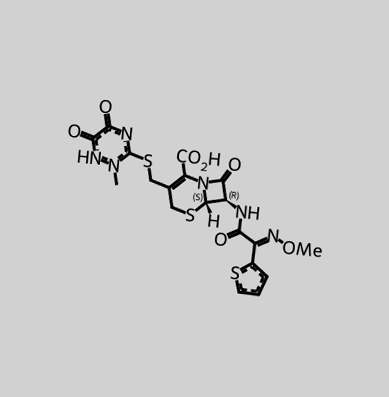 CON=C(C(=O)N[C@@H]1C(=O)N2C(C(=O)O)=C(CSc3nc(=O)c(=O)[nH]n3C)CS[C@@H]12)c1cccs1